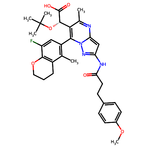 COc1ccc(CCC(=O)Nc2cc3nc(C)c([C@H](OC(C)(C)C)C(=O)O)c(-c4cc(F)c5c(c4C)CCCO5)n3n2)cc1